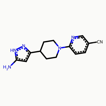 N#Cc1ccc(N2CCC(c3cc(N)[nH]n3)CC2)nc1